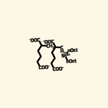 CC(CCCC(=O)[O-])C(=O)[O-].CC(CCCC(=O)[O-])C(=O)[O-].CCCCCCC[CH2][Sn+4][CH2]CCCCCCC